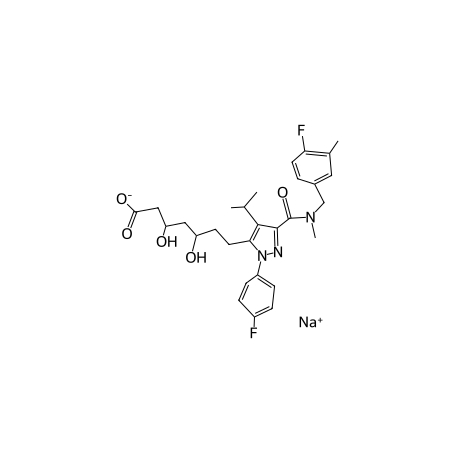 Cc1cc(CN(C)C(=O)c2nn(-c3ccc(F)cc3)c(CCC(O)CC(O)CC(=O)[O-])c2C(C)C)ccc1F.[Na+]